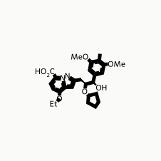 CCOc1ccc(C(=O)O)n2nc(C[C@H](OC3CCCC3)[C@H](O)c3cc(OC)c(C)c(OC)c3)cc12